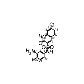 Nc1cc(NS(=O)(=O)c2cc3ccc(Cl)cc3[nH]c2=O)ccc1F